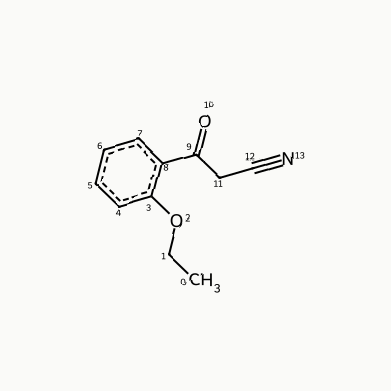 CCOc1ccccc1C(=O)CC#N